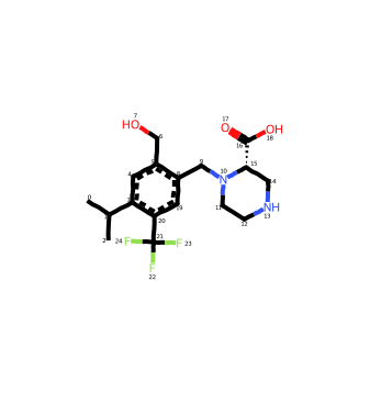 CC(C)c1cc(CO)c(CN2CCNC[C@H]2C(=O)O)cc1C(F)(F)F